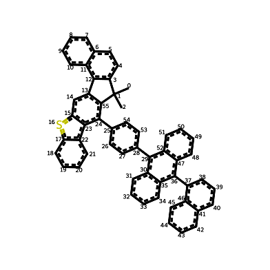 CC1(C)c2ccc3ccccc3c2-c2cc3sc4ccccc4c3c(-c3ccc(-c4c5ccccc5c(-c5cccc6ccccc56)c5ccccc45)cc3)c21